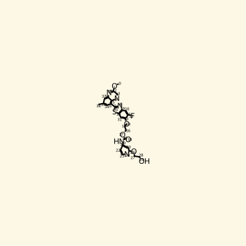 COc1cnc2c(-c3nc4cc(F)c(OCCOC(=O)Nc5ccnc(OCCO)c5)cc4s3)cc(C)cc2n1